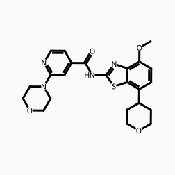 COc1ccc(C2CCOCC2)c2sc(NC(=O)c3ccnc(N4CCOCC4)c3)nc12